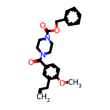 C=CCc1cc(C(=O)N2CCN(C(=O)OCc3ccccc3)CC2)ccc1OC